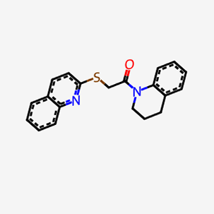 O=C(CSc1ccc2ccccc2n1)N1CCCc2ccccc21